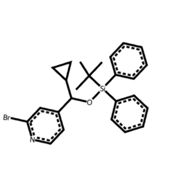 CC(C)(C)[Si](OC(c1ccnc(Br)c1)C1CC1)(c1ccccc1)c1ccccc1